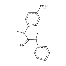 CN(C(=N)N(C)c1ccc(C(=O)O)cc1)c1ccccc1